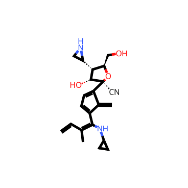 C=C/C(C)=C(/NC1CC1)C1=CC=C([C@]2(C#N)O[C@H](CO)[C@@H](C3CN3)[C@H]2O)C1=C